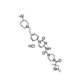 CN(C)C1CCCN(CCc2ccc(-n3ccc(NC(=O)N4CCN(C(=O)C(C)(C)N)CC4)nc3=O)cc2)CC1.Cl